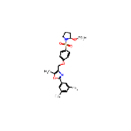 Cc1oc(-c2cc(C(F)(F)F)cc(C(F)(F)F)c2)nc1COc1ccc(S(=O)(=O)N2CCC[C@H]2OC(=O)O)cc1